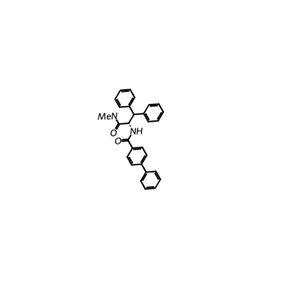 CNC(=O)[C@@H](NC(=O)c1ccc(-c2ccccc2)cc1)C(c1ccccc1)c1ccccc1